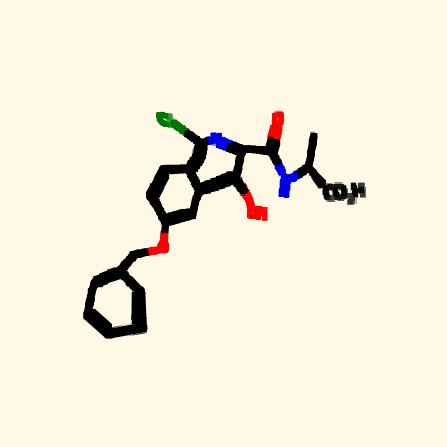 C[C@H](NC(=O)c1nc(Cl)c2ccc(OCc3ccccc3)cc2c1O)C(=O)O